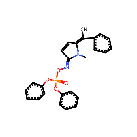 CN1/C(=N/OP(=O)(Oc2ccccc2)Oc2ccccc2)C=C/C1=C(\C#N)c1ccccc1